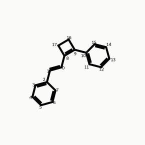 C(=Cc1ccccc1)C1=C(c2ccccc2)CC1